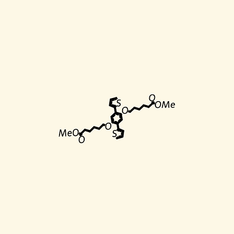 COC(=O)CCCCCOc1cc(-c2cccs2)c(OCCCCCC(=O)OC)cc1-c1cccs1